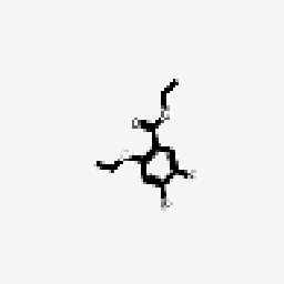 CCOC(=O)c1cc(F)c(Br)cc1OCC